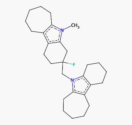 Cn1c2c(c3c1CC(F)(Cn1c4c(c5c1CCCC5)CCCCC4)CC3)CCCCC2